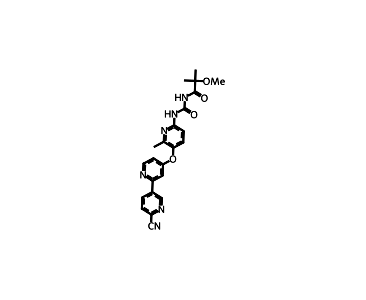 COC(C)(C)C(=O)NC(=O)Nc1ccc(Oc2ccnc(-c3ccc(C#N)nc3)c2)c(C)n1